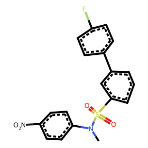 CN(c1ccc([N+](=O)[O-])cc1)S(=O)(=O)c1cccc(-c2ccc(F)cc2)c1